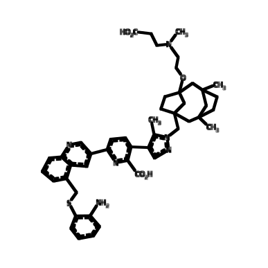 Cc1c(-c2ccc(-c3cnc4cccc(CSc5ccccc5N)c4c3)nc2C(=O)O)cnn1CC12CCC(OCCN(C)CCC(=O)O)(CC3(C)CCC(C)(C3)C1)C2